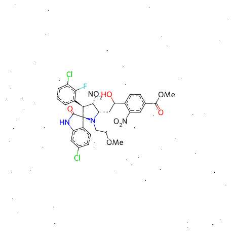 COCCN1[C@@H](CC(O)c2ccc(C(=O)OC)cc2[N+](=O)[O-])[C@@H]([N+](=O)[O-])[C@H](c2cccc(Cl)c2F)[C@]12C(=O)Nc1cc(Cl)ccc12